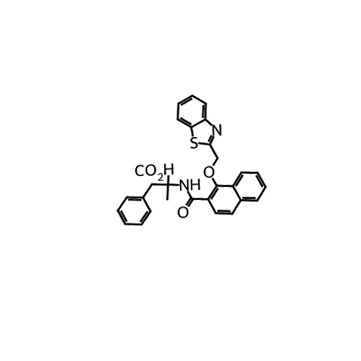 CC(Cc1ccccc1)(NC(=O)c1ccc2ccccc2c1OCc1nc2ccccc2s1)C(=O)O